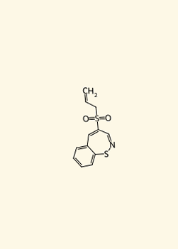 C=CCS(=O)(=O)C1=Cc2ccccc2SN=C1